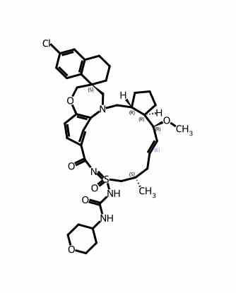 CO[C@H]1/C=C/C[C@H](C)CS(=O)(NC(=O)NC2CCOCC2)=NC(=O)c2ccc3c(c2)N(C[C@@H]2CCC[C@H]21)C[C@@]1(CCCc2cc(Cl)ccc21)CO3